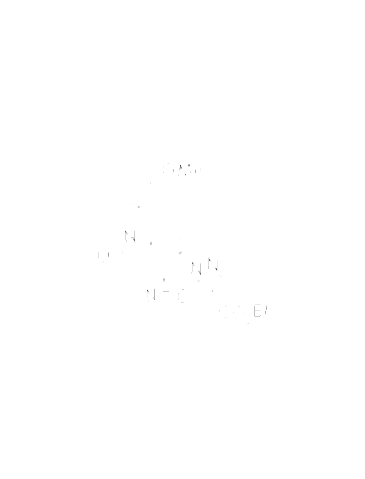 CCOC(=O)c1cnn(-c2ccc3c4c(cncc24)C(=O)N3Cc2ccc(OC)cc2)c1C(F)(F)F